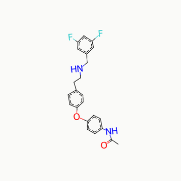 CC(=O)Nc1ccc(Oc2ccc(CCNCc3cc(F)cc(F)c3)cc2)cc1